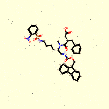 CN(C(=O)[C@@H](CC(=O)O)Cc1ccccc1)[C@@H](CCCCNS(=O)(=O)c1ccccc1[N+](=O)[O-])CNC(=O)OCC1c2ccccc2-c2ccccc21